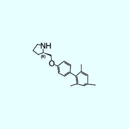 Cc1cc(C)c(-c2ccc(OC[C@H]3CCCN3)cc2)c(C)c1